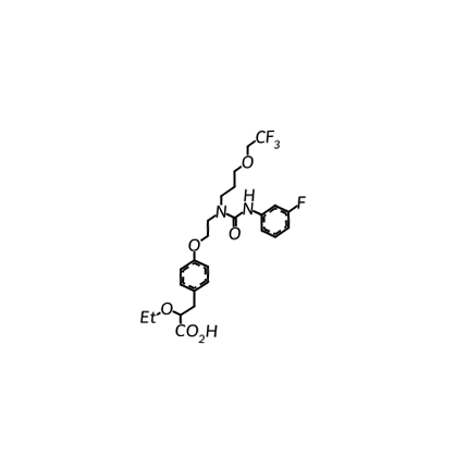 CCOC(Cc1ccc(OCCN(CCCOCC(F)(F)F)C(=O)Nc2cccc(F)c2)cc1)C(=O)O